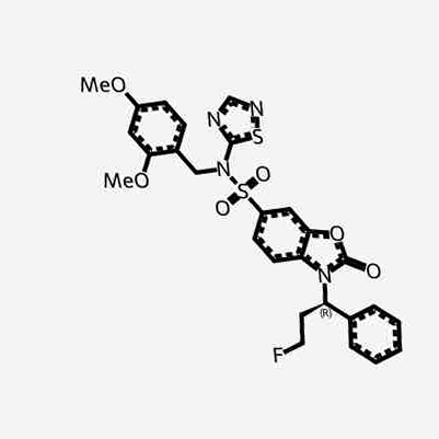 COc1ccc(CN(c2ncns2)S(=O)(=O)c2ccc3c(c2)oc(=O)n3[C@H](CCF)c2ccccc2)c(OC)c1